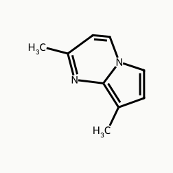 Cc1ccn2ccc(C)c2n1